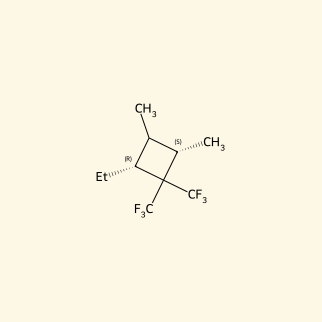 CC[C@@H]1C(C)[C@H](C)C1(C(F)(F)F)C(F)(F)F